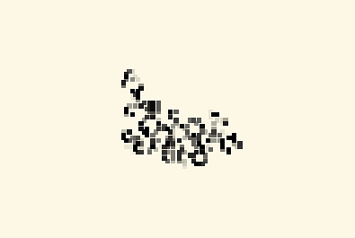 CC(C)CN(C(=O)c1cnc(C(C)(C)C)nc1NCc1ccco1)[C@H]1C[C@@H](NC(=O)N2CCOCC2)CN(C(=O)O)C1